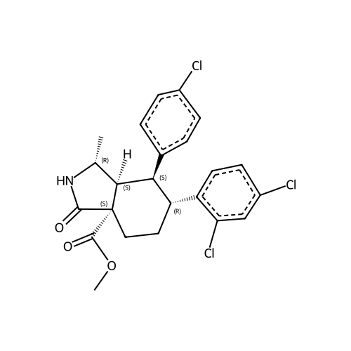 COC(=O)[C@@]12CC[C@@H](c3ccc(Cl)cc3Cl)[C@H](c3ccc(Cl)cc3)[C@@H]1[C@@H](C)NC2=O